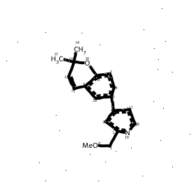 COCc1cc(-c2ccc3c(c2)C=CC(C)(C)O3)ccn1